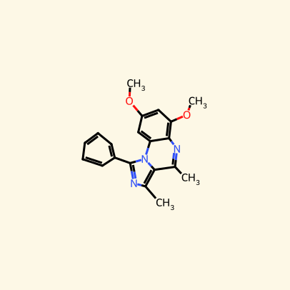 COc1cc(OC)c2nc(C)c3c(C)nc(-c4ccccc4)n3c2c1